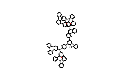 c1cc(-c2ccccc2-n2c3ccccc3c3ccccc32)cc(N(c2ccc(-c3cc(-c4ccc5cc(N(c6ccc(-c7cccc8c7oc7ccccc78)cc6)c6cccc(-c7ccccc7-n7c8ccccc8c8ccccc87)c6)c6ccccc6c5c4)cc4c3oc3ccccc34)cc2)c2ccc3c4ccccc4c4ccccc4c3c2)c1